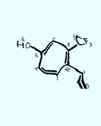 C=Cc1ccc(O)cc1C(F)(F)F